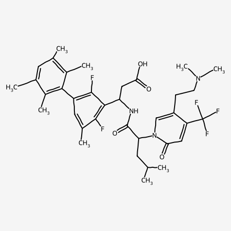 Cc1cc(C)c(C)c(-c2cc(C)c(F)c(C(CC(=O)O)NC(=O)C(CC(C)C)n3cc(CCN(C)C)c(C(F)(F)F)cc3=O)c2F)c1C